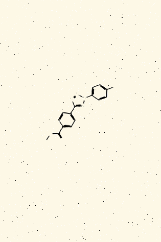 COC(=O)c1ccc(-c2nnn(-c3ccc(F)cc3)n2)cc1